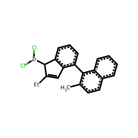 CCC1=Cc2c(-c3c(C)ccc4ccccc34)cccc2[CH]1[Zr]([Cl])[Cl]